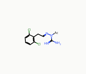 CC(=O)N(/N=C/Cc1c(Cl)cccc1Cl)C(=N)N